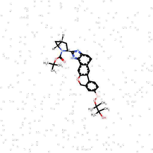 CC(C)(C)OC(=O)N1[C@@H]2C[C@@H]2C[C@H]1c1nc2ccc3cc4c(cc3c2[nH]1)OCc1cc(BOC(C)(C)C(C)(C)O)ccc1-4